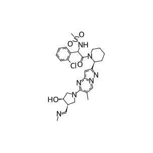 CN=C[C@@H]1CN(c2nc3cc([C@@H]4CCCCN4C(=O)C(NS(C)(=O)=O)c4ccccc4Cl)nn3cc2C)C[C@@H]1O